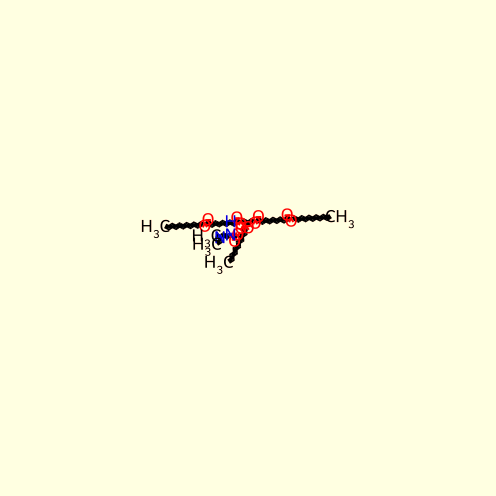 CCCCCCCCCCCOC(=O)CCCCCCCC(=O)OCC(COC(=O)CCCCCCCC(=O)OCCCCCCCCCCC)OC(=O)CC(CCCCCCCC)OC(=O)NCCN(C)CC